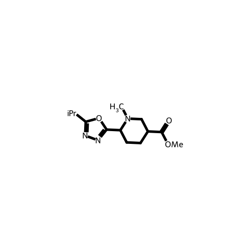 COC(=O)C1CCC(c2nnc(C(C)C)o2)N(C)C1